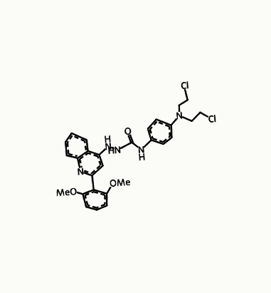 COc1cccc(OC)c1-c1cc(NNC(=O)Nc2ccc(N(CCCl)CCCl)cc2)c2ccccc2n1